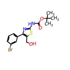 CC(C)(C)OC(=O)Nc1nc(-c2cccc(Br)c2)c(CO)s1